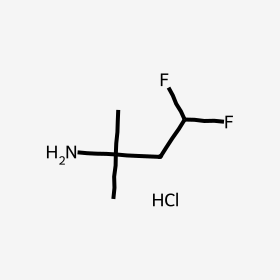 CC(C)(N)CC(F)F.Cl